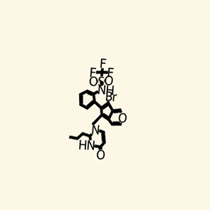 CCCC1NC(=O)C=CN1Cc1c2ccocc-2c(Br)c1-c1ccccc1NS(=O)(=O)C(F)(F)F